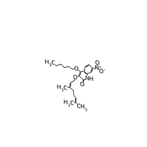 CCCCCCOc1c(OCC=C(C)CCC=C(C)C)c(=O)[nH]c2cc([N+](=O)[O-])ccc12